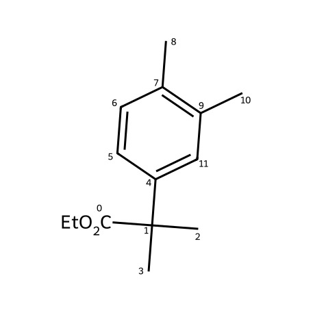 CCOC(=O)C(C)(C)c1ccc(C)c(C)c1